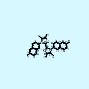 CC1=C(C)N(c2ccc3cc(C)ccc3c2)/C(=C2\OC(C)=C(C)N2c2ccc3cc(C)ccc3c2)O1